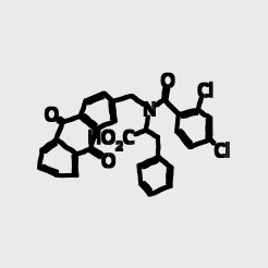 O=C1c2ccccc2C(=O)c2cc(CN(C(=O)c3ccc(Cl)cc3Cl)C(Cc3ccccc3)C(=O)O)ccc21